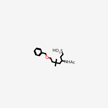 CC(=O)NC(CCS(=O)(=O)O)CC(C)(C)CCOCc1ccccc1